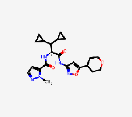 Cn1nccc1C(=O)N[C@H](C(=O)Nc1cc(C2CCOCC2)on1)C(C1CC1)C1CC1